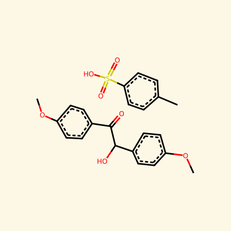 COc1ccc(C(=O)C(O)c2ccc(OC)cc2)cc1.Cc1ccc(S(=O)(=O)O)cc1